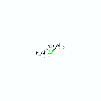 [AlH2][Cl].[AlH4-].[Na+]